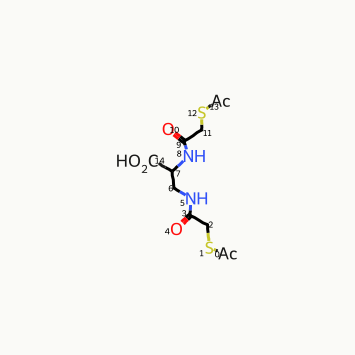 CC(=O)SCC(=O)NCC(NC(=O)CSC(C)=O)C(=O)O